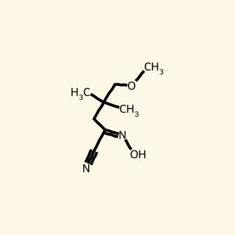 COCC(C)(C)CC(C#N)=NO